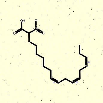 CC/C=C\C/C=C\C/C=C\CCCCCCC(C(=O)O)[N+](=O)[O-]